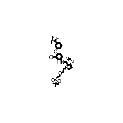 CC(C)(C)S(=O)(=O)CCOCCn1ccc2ncnc(Nc3ccc(Oc4cccc(C(F)(F)F)c4)c(Cl)c3)c21